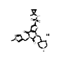 Cl.Cn1cc(Cn2c(=O)c3cc(S(=O)(=O)NC4(C)CC4)sc3n(CC3CCNCC3)c2=O)cn1